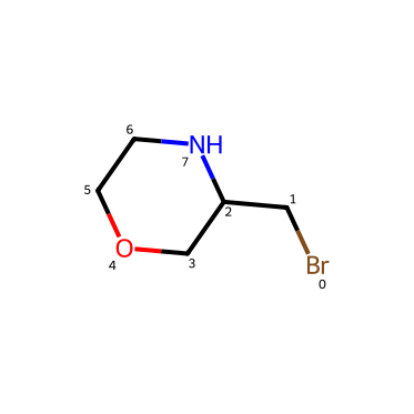 BrCC1COCCN1